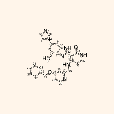 Cc1cc(-n2ccnc2)cc2[nH]c(-c3c(NCc4cc(OCc5ccccc5)ccn4)cc[nH]c3=O)nc12